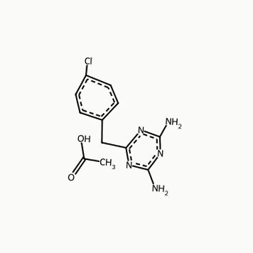 CC(=O)O.Nc1nc(N)nc(Cc2ccc(Cl)cc2)n1